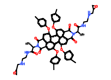 CCCC(C(=O)NCCNCC1CO1)N1C(=O)c2cc(Oc3ccc(C)cc3)c3c4c(Oc5ccc(C)cc5)cc5c6c(cc(Oc7ccc(C)cc7)c(c7c(Oc8ccc(C)cc8)cc(c2c37)C1=O)c64)C(=O)N(C(CCC)C(=O)NCCNCC1CO1)C5=O